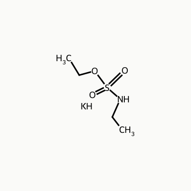 CCNS(=O)(=O)OCC.[KH]